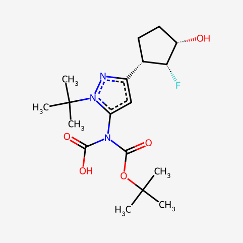 CC(C)(C)OC(=O)N(C(=O)O)c1cc([C@@H]2CC[C@H](O)[C@@H]2F)nn1C(C)(C)C